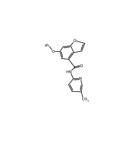 Cc1ccc(NC(=O)c2cc(OC(C)C)cc3occc23)nc1